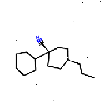 CCC[C@H]1CC[C@](C#N)(C2CCCCC2)CC1